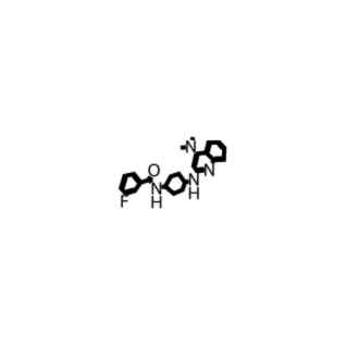 CN(C)c1cc(NC2CCC(NC(=O)c3cccc(F)c3)CC2)nc2ccccc12